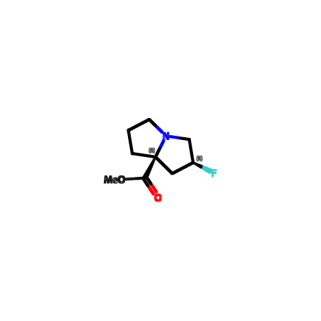 COC(=O)[C@@]12CCCN1C[C@@H](F)C2